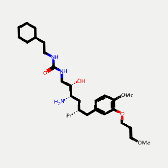 COCCCOc1cc(C[C@@H](C[C@H](N)[C@@H](O)CNC(=O)NCCC2CCCCC2)C(C)C)ccc1OC